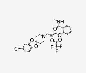 CNC(=O)c1ccccc1OC[C@H](CN1CCC2(CC1)Oc1ccc(Cl)cc1O2)OC(=O)C(F)(F)F